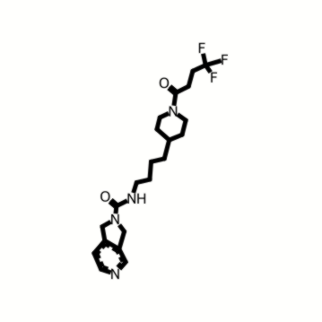 O=C(CCC(F)(F)F)N1CCC(CCCCNC(=O)N2Cc3ccncc3C2)CC1